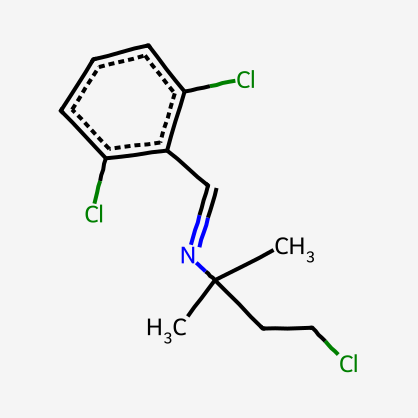 CC(C)(CCCl)/N=C/c1c(Cl)cccc1Cl